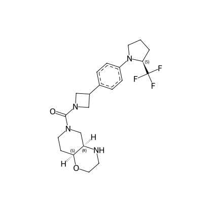 O=C(N1CC(c2ccc(N3CCC[C@H]3C(F)(F)F)cc2)C1)N1CC[C@@H]2OCCN[C@@H]2C1